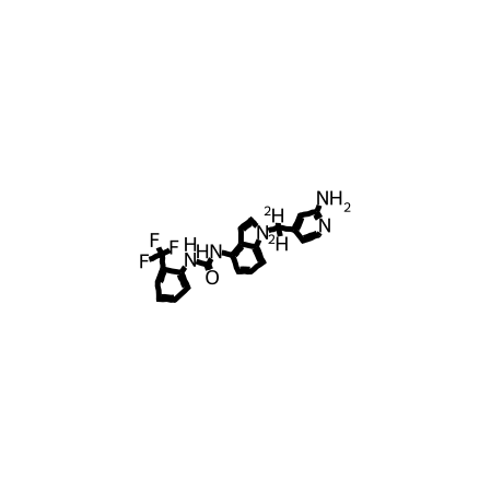 [2H]C([2H])(c1ccnc(N)c1)n1ccc2c(NC(=O)Nc3ccccc3C(F)(F)F)cccc21